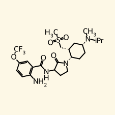 CC(C)N(C)[C@@H]1CC[C@H](N2CCC(NC(=O)c3cc(OC(F)(F)F)ccc3N)C2=O)[C@H](CS(C)(=O)=O)C1